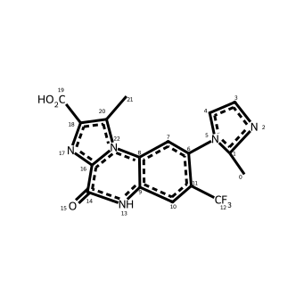 Cc1nccn1-c1cc2c(cc1C(F)(F)F)[nH]c(=O)c1nc(C(=O)O)c(C)n12